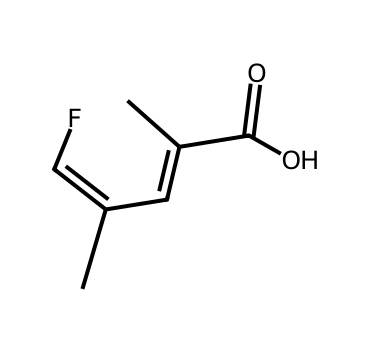 CC(=CF)C=C(C)C(=O)O